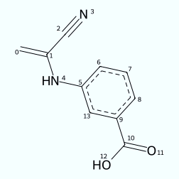 C=C(C#N)Nc1cccc(C(=O)O)c1